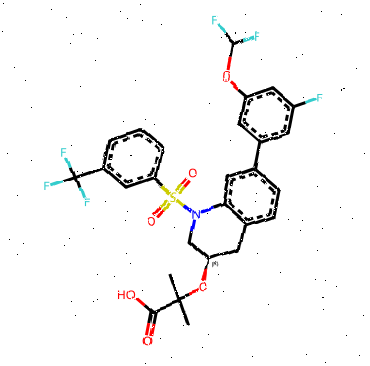 CC(C)(O[C@@H]1Cc2ccc(-c3cc(F)cc(OC(F)F)c3)cc2N(S(=O)(=O)c2cccc(C(F)(F)F)c2)C1)C(=O)O